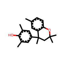 Cc1ccc2c(c1)C(C)(c1cc(C)c(O)c(C)c1)CC(C)(C)O2